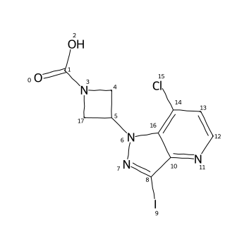 O=C(O)N1CC(n2nc(I)c3nccc(Cl)c32)C1